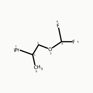 C[C](COC(F)F)C(C)C